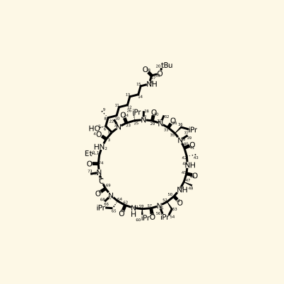 CC[C@@H]1NC(=O)C([C@H](O)[C@H](C)CCCCCCNC(=O)OC(C)(C)C)N(C)C(=O)[C@H](C(C)C)N(C)C(=O)N(C)C(=O)[C@@H](CC(C)C)N(C)C(=O)[C@H](C)NC(=O)[C@@H](C)NC(=O)[C@@H](CC(C)C)N(C)C(=O)[C@@H](C(C)C)NC(=O)[C@H](CC(C)C)N(C)C(=O)CN(C)C1=O